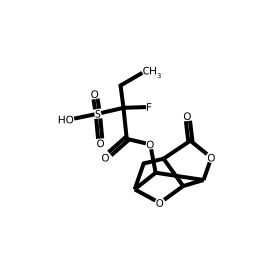 CCC(F)(C(=O)OC1C2CC3C(=O)OC1C3O2)S(=O)(=O)O